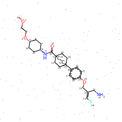 COCCO[C@H]1CC[C@@H](NC(=O)C23CCC(c4ccc(OC/C(=C/F)CN)cc4)(CC2)CC3)CC1